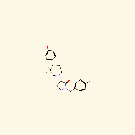 Cc1ccc(CN2CC[C@@H](N3CC[C@@H](c4ccc(O)cc4)[C@@](C)(F)C3)C2=O)cc1